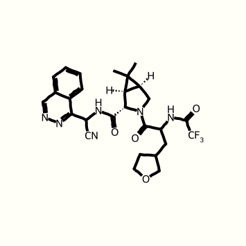 CC1(C)[C@@H]2[C@@H](C(=O)NC(C#N)c3nncc4ccccc34)N(C(=O)C(CC3CCOC3)NC(=O)C(F)(F)F)C[C@@H]21